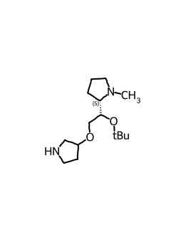 CN1CCC[C@H]1C(COC1CCNC1)OC(C)(C)C